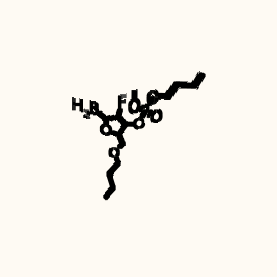 BC1OC(COCCCC)C(OP(=O)(OC)OCCCC)C1F